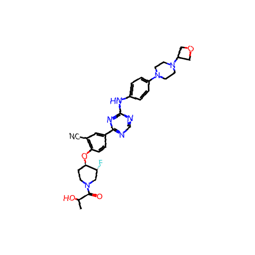 CC(O)C(=O)N1CC[C@@H](Oc2ccc(-c3ncnc(Nc4ccc(N5CCN(C6COC6)CC5)cc4)n3)cc2C#N)[C@H](F)C1